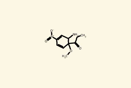 CCC(=O)C1(OC)C=CC([N+](=O)[O-])=CC1N